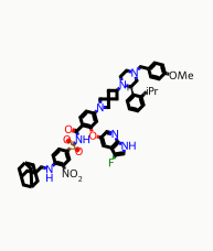 COc1ccc(CN2CCN(C3CC4(C3)CN(c3ccc(C(=O)NS(=O)(=O)c5ccc(NCC67CC8CC(CC(C8)C6)C7)c([N+](=O)[O-])c5)c(Oc5cnc6[nH]cc(F)c6c5)c3)C4)[C@H](c3ccccc3C(C)C)C2)cc1